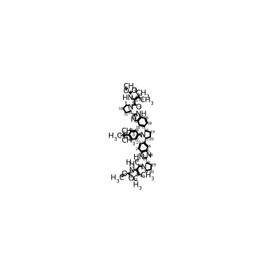 COC(=O)NC(C(=O)N1CCC[C@H]1c1nc2cc([C@@H]3CC[C@@H](c4ccc5[nH]c([C@@H]6CCCN6C(C)C(NC(=O)OC)=C(C)C)nc5c4)N3c3ccc(C(C)(C)C)cc3)ccc2[nH]1)=C(C)C